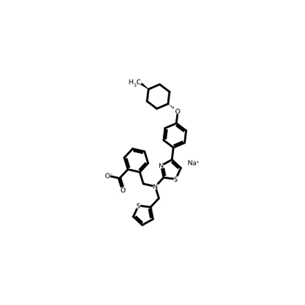 C[C@H]1CC[C@H](Oc2ccc(-c3csc(N(Cc4cccs4)Cc4ccccc4C(=O)[O-])n3)cc2)CC1.[Na+]